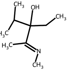 CCC(O)(C(C)=NC)C(C)C